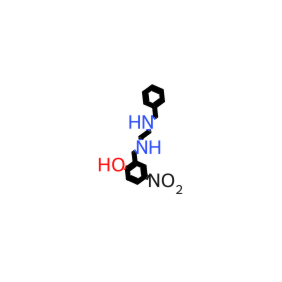 O=[N+]([O-])c1ccc(O)c(CNCCNCc2ccccc2)c1